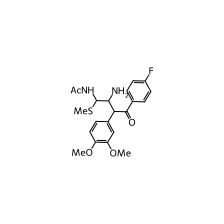 COc1ccc(C(C(=O)c2ccc(F)cc2)C(N)C(NC(C)=O)SC)cc1OC